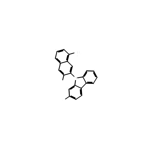 Cc1ccc2c3ccccc3n(-c3cc4c(C)cccc4cc3C)c2c1